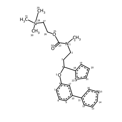 CN(CCC(Oc1cccc(-c2cccnc2)c1)c1cccs1)C(=O)OCC[Si](C)(C)C